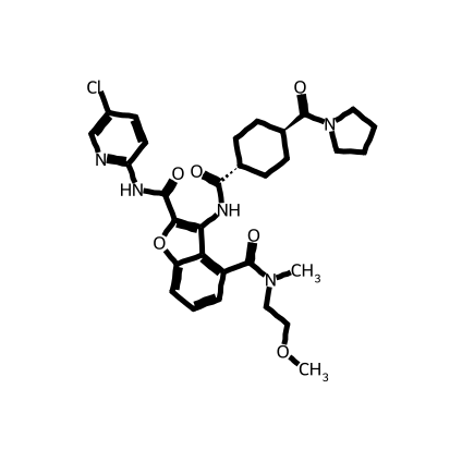 COCCN(C)C(=O)c1cccc2oc(C(=O)Nc3ccc(Cl)cn3)c(NC(=O)[C@H]3CC[C@H](C(=O)N4CCCC4)CC3)c12